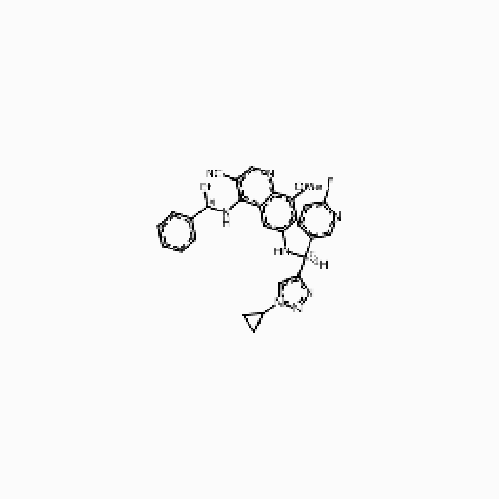 [2H][C@](Nc1cc(OC)c2ncc(C#N)c(N[C@H](CC)c3ccccc3)c2c1)(c1ccc(F)nc1)c1cn(C2CC2)nn1